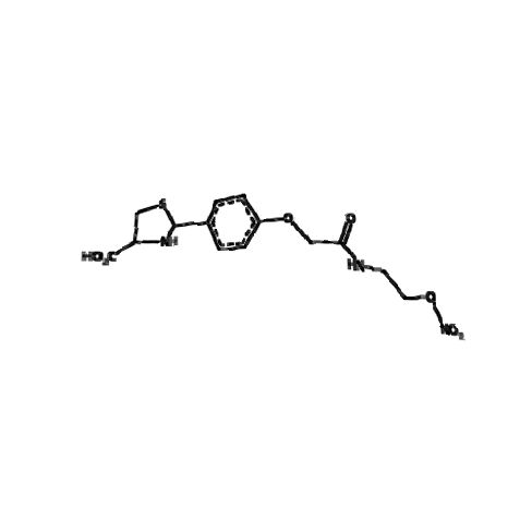 O=C(COc1ccc(C2NC(C(=O)O)CS2)cc1)NCCO[N+](=O)[O-]